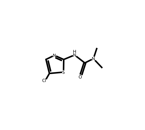 CN(C)C(=O)Nc1ncc(Cl)s1